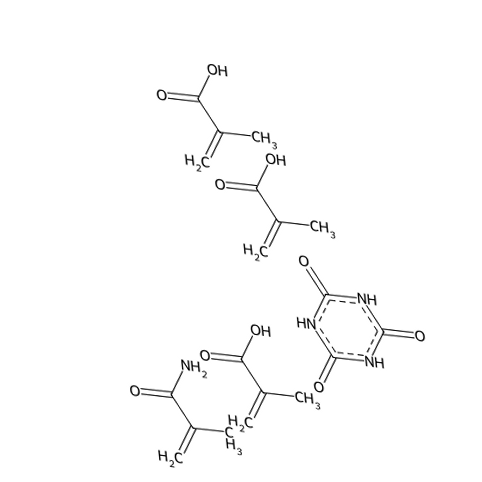 C=C(C)C(=O)O.C=C(C)C(=O)O.C=C(C)C(=O)O.C=C(C)C(N)=O.O=c1[nH]c(=O)[nH]c(=O)[nH]1